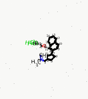 CN(C)CC1=CCC(c2ccc3ccccc3[c]2[Ti][O]CC(C)(C)C)=C1.Cl.Cl